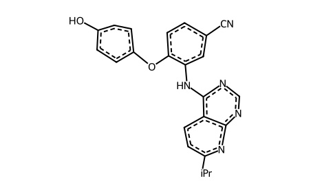 CC(C)c1ccc2c(Nc3cc(C#N)ccc3Oc3ccc(O)cc3)ncnc2n1